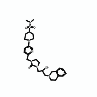 CN(C)S(=O)(=O)C1CCN(c2ccc(CN3CCN(CC(O)CN4CCc5ccccc5C4)C3=O)nc2)CC1